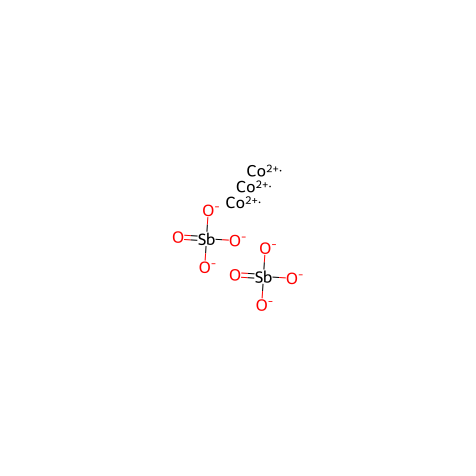 [Co+2].[Co+2].[Co+2].[O]=[Sb]([O-])([O-])[O-].[O]=[Sb]([O-])([O-])[O-]